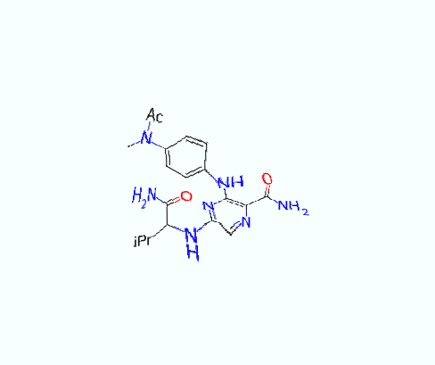 CC(=O)N(C)c1ccc(Nc2nc(NC(C(N)=O)C(C)C)cnc2C(N)=O)cc1